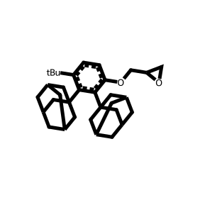 CC(C)(C)c1ccc(OCC2CO2)c(C23CC4CC(CC(C4)C2)C3)c1C12CC3CC(CC(C3)C1)C2